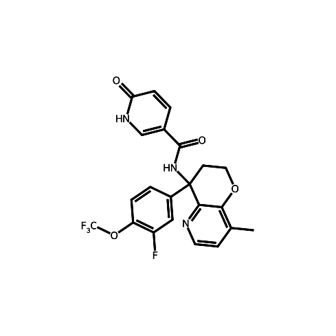 Cc1ccnc2c1OCCC2(NC(=O)c1ccc(=O)[nH]c1)c1ccc(OC(F)(F)F)c(F)c1